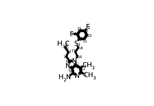 CCCCc1nc2c(N)nc(C)c(C)c2n1CCCSc1ccc(F)cc1F